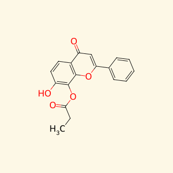 CCC(=O)Oc1c(O)ccc2c(=O)cc(-c3ccccc3)oc12